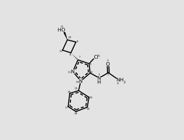 NC(=O)Nc1c(Cl)c([C@H]2C[C@H](O)C2)nn1-c1ccccc1